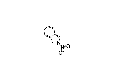 O=[N+]([O-])N1C=C2C=CCC=C2C1